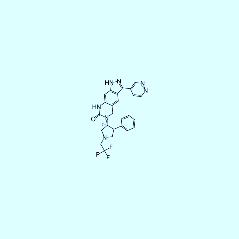 O=C1Nc2cc3[nH]nc(-c4ccnnc4)c3cc2CN1[C@@H]1CN(CC(F)(F)F)CC1c1ccccc1